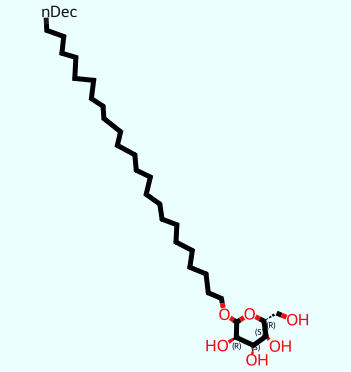 CCCCCCCCCCCCCCCCCCCCCCCCCCCCCCCCCCOC1O[C@H](CO)[C@@H](O)[C@H](O)[C@H]1O